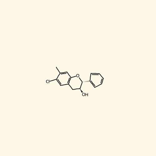 Cc1cc2c(cc1Cl)C[C@H](O)[C@@H](c1ccccc1)O2